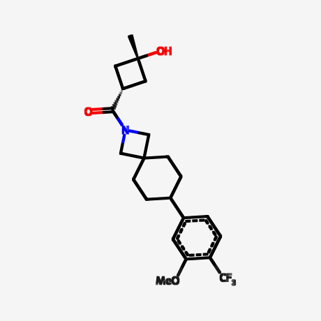 COc1cc(C2CCC3(CC2)CN(C(=O)[C@H]2C[C@@](C)(O)C2)C3)ccc1C(F)(F)F